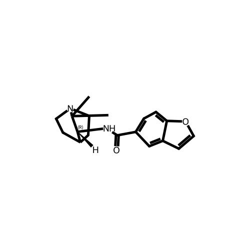 CC1(C)[C@H](NC(=O)c2ccc3occc3c2)C2CCN1CC2